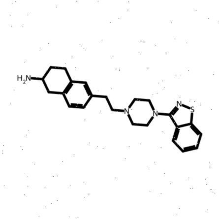 NC1CCc2cc(CCN3CCN(c4nsc5ccccc45)CC3)ccc2C1